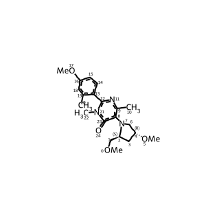 COC[C@@H]1C[C@@H](OC)CN1c1c(C)nc(-c2ccc(OC)cc2C)n(C)c1=O